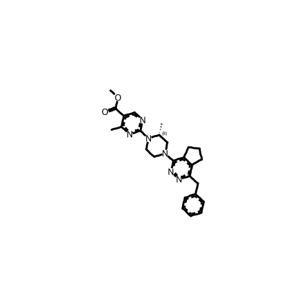 COC(=O)c1cnc(N2CCN(c3nnc(Cc4ccccc4)c4c3CCC4)C[C@H]2C)nc1C